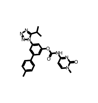 Cc1ccc(-c2cc(OC(=O)Nc3ccn(C)c(=O)n3)cc(-n3nnnc3C(C)C)c2)cc1